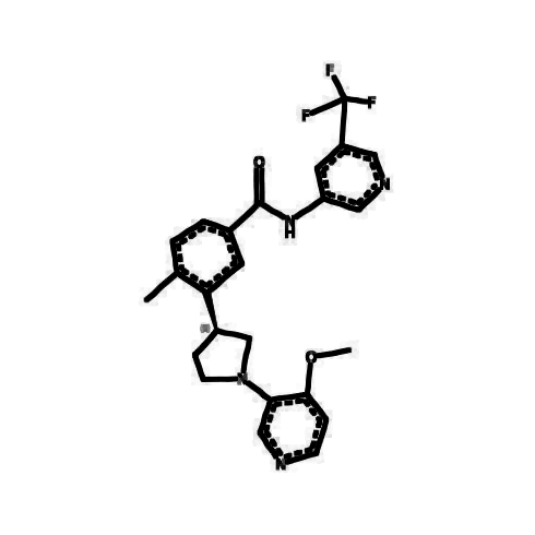 COc1ccncc1N1CC[C@@H](c2cc(C(=O)Nc3cncc(C(F)(F)F)c3)ccc2C)C1